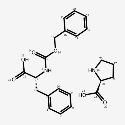 O=C(N[C@H](Cc1ccccc1)C(=O)O)OCc1ccccc1.O=C(O)[C@@H]1CCCN1